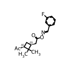 CC(=O)[C@H]1C[C@@H](CC(=O)ON=Cc2cccc(F)c2)C1(C)C